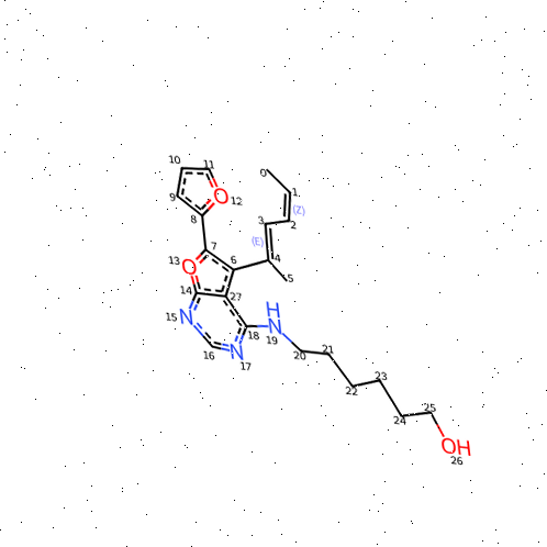 C/C=C\C=C(/C)c1c(-c2ccco2)oc2ncnc(NCCCCCCO)c12